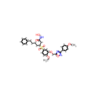 COc1ccc(-c2noc(COc3cc(S(=O)(=O)C(CCCCc4ccccc4)CC(=O)NO)ccc3OC)n2)cc1